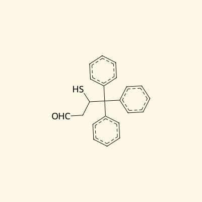 O=CCC(S)C(c1ccccc1)(c1ccccc1)c1ccccc1